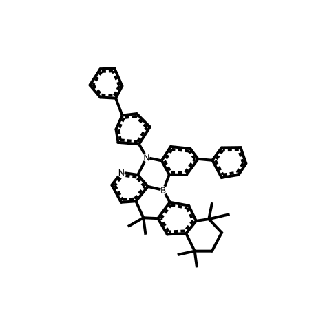 CC1(C)CCC(C)(C)c2cc3c(cc21)B1c2cc(-c4ccccc4)ccc2N(c2ccc(-c4ccccc4)cc2)c2nccc(c21)C3(C)C